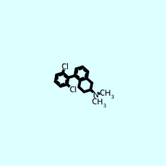 CN(C)C1CCc2c(cccc2-c2c(Cl)cccc2Cl)C1